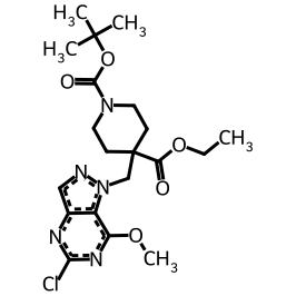 CCOC(=O)C1(Cn2ncc3nc(Cl)nc(OC)c32)CCN(C(=O)OC(C)(C)C)CC1